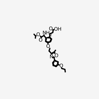 CCCOc1cccc(-c2nc(CCOc3ccc(CCC(=O)O)c(C(N)C(=O)OC(C)C)c3)c(C)o2)c1